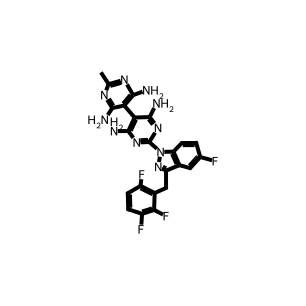 Cc1nc(N)c(-c2c(N)nc(-n3nc(Cc4c(F)ccc(F)c4F)c4cc(F)ccc43)nc2N)c(N)n1